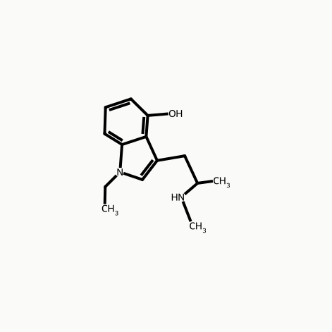 CCn1cc(CC(C)NC)c2c(O)cccc21